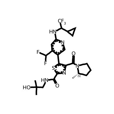 C[C@H]1CCCN1C(=O)c1nc(C(=O)NCC(C)(C)O)sc1-c1cnc(NC(C2CC2)C(F)(F)F)cc1C(F)F